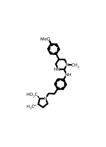 COc1ccc(C2CNC(Nc3ccc(CCN4CC[C@H](C)[C@H]4C(=O)O)cc3)N(C)C2)cc1